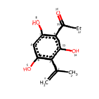 C=C(C)c1c(O)cc(O)c(C(=O)CC)c1O